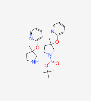 CC(C)(C)OC(=O)N1CCC(C)(Oc2ccccn2)C1.CC1(Oc2ccccn2)CCNC1